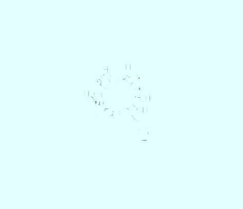 C=C1C(=C)[C@@H](C)[C@@H](C#Cc2ccccc2)OC(=O)C(=C)[C@@H](N=O)[C@H](C)[C@@H](N=O)[C@@H](C)C[C@@H](C)C1=O